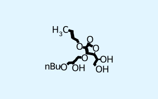 C/C=C/COC1=C(OCC(O)COCCCC)[C@@H]([C@@H](O)CO)OC1=O